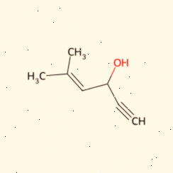 C#CC(O)C=C(C)C